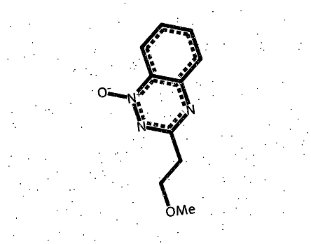 COCCc1nc2ccccc2[n+]([O-])n1